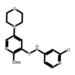 COc1ncc(N2CCOCC2)cc1SNc1ccnc(Cl)c1